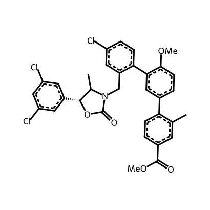 COC(=O)c1ccc(-c2ccc(OC)c(-c3ccc(Cl)cc3CN3C(=O)O[C@H](c4cc(Cl)cc(Cl)c4)C3C)c2)c(C)c1